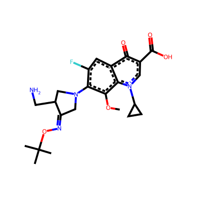 COc1c(N2CC(=NOC(C)(C)C)C(CN)C2)c(F)cc2c(=O)c(C(=O)O)cn(C3CC3)c12